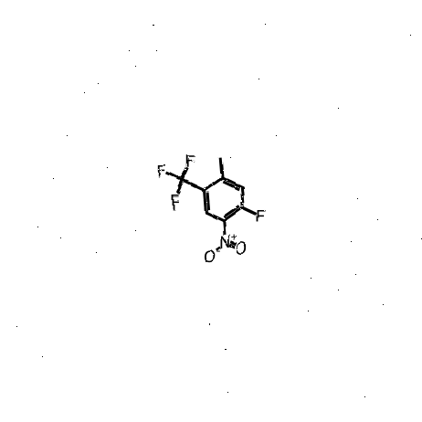 Cc1cc(F)c([N+](=O)[O-])cc1C(F)(F)F